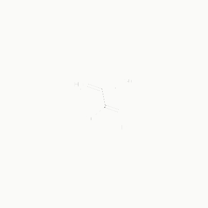 C=C[C](=O)[Cr].[Cu].[Pb].[Sn]